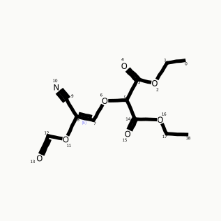 CCOC(=O)C(O/C=C(\C#N)OC=O)C(=O)OCC